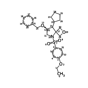 CCOc1ccc(S(=O)(=O)N2C[C@@H](OCc3ccccc3)C(C3CCCC3)C23COC3)cc1